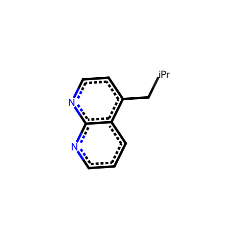 CC(C)Cc1ccnc2ncccc12